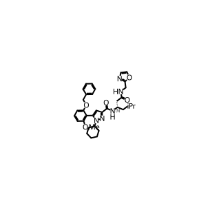 COc1cccc(OCc2ccccc2)c1-c1cc(C(=O)N[C@H](CC(=O)NCc2ncco2)CC(C)C)nn1C1CCCCC1